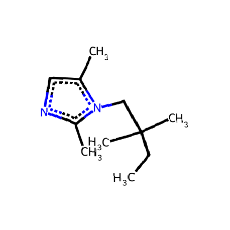 CCC(C)(C)Cn1c(C)cnc1C